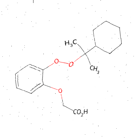 CC(C)(OOc1ccccc1OCC(=O)O)C1CCCCC1